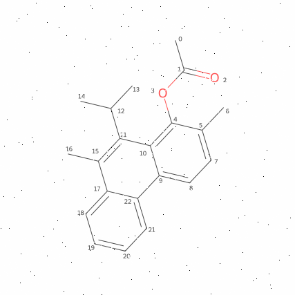 CC(=O)Oc1c(C)ccc2c1c(C(C)C)c(C)c1ccccc12